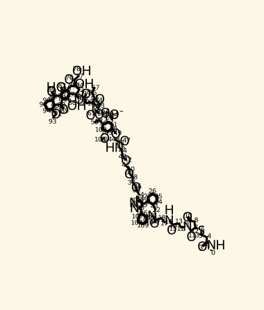 CNC(=O)CCSC1CC(=O)N(CCC(=O)NCCC(=O)N2Cc3ccccc3-c3c(nnn3CCOCCOCCOCCNC(=O)COc3cc([N+](=O)[O-])c(C(C)OC(=O)N4COC5C(C)OC(OC6CC(O)(C(=O)CO)Cc7c(O)c8c(c(O)c76)C(=O)c6c(OC)cccc6C8=O)CC54)cc3OC)-c3ccccc32)C1=O